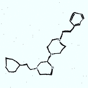 c1ccc(CCN2CCN(C3CN(CCC4CCCCC4)CC[N]3)CC2)cc1